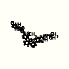 COc1nc(-c2cccc(-c3cccc(-c4cc5ncc(CNCC(C)O)cc5cn4)c3Cl)c2Cl)ccc1COC(=O)NC[C@@H]1CCC(=O)N1